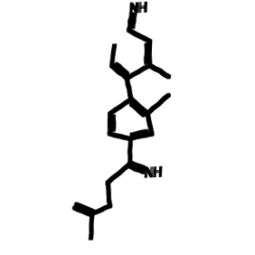 C=C(C)CCC(=N)c1ccc(C(=C/C)/C(C)=C\C=N)c(C)c1